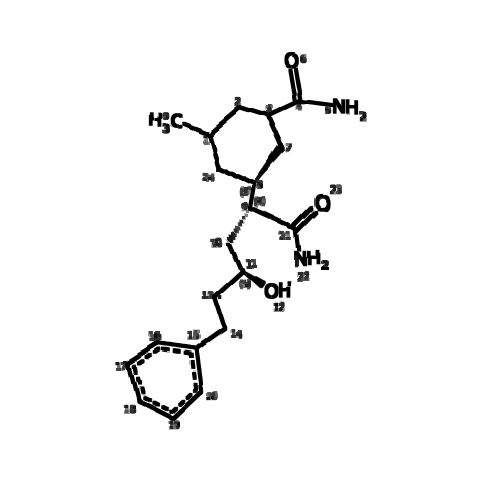 CC1CC(C(N)=O)C[C@@H]([C@@H](C[C@@H](O)[CH]Cc2ccccc2)C(N)=O)C1